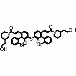 O=C(/C=C/c1ccc(Sc2ccc(/C=C/C(=O)N3CCCC(CCO)C3)c(-c3ccccc3Br)c2Cl)c(Cl)c1-c1ccccc1Br)N1CCCC(CCO)C1